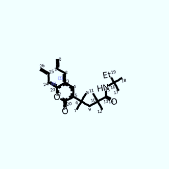 C=C/C=c1/cc(C(C)(C)CC(C)(C)C(=O)NC(C)(C)CC)c(=O)o/c1=C/C=C